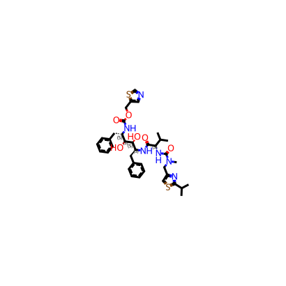 CC(C)c1nc(CN(C)C(=O)N[C@H](C(=O)N[C@@H](Cc2ccccc2)[C@H](O)[C@@H](O)[C@H](Cc2ccccc2)NC(=O)OCc2cncs2)C(C)C)cs1